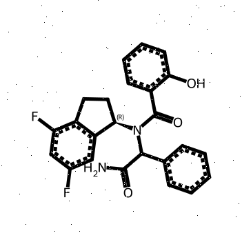 NC(=O)C(c1ccccc1)N(C(=O)c1ccccc1O)[C@@H]1CCc2c(F)cc(F)cc21